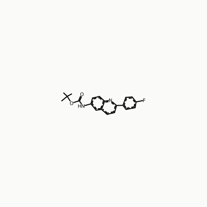 CC(C)(C)OC(=O)Nc1ccc2nc(-c3ccc(F)cc3)ccc2c1